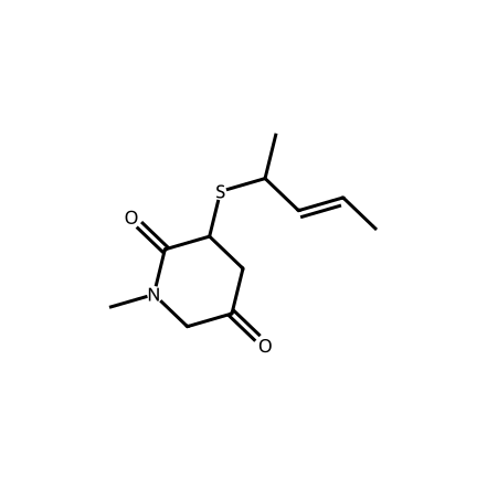 C/C=C/C(C)SC1CC(=O)CN(C)C1=O